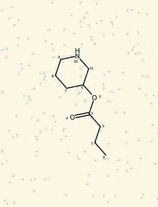 CCCC(=O)OC1CCCNC1